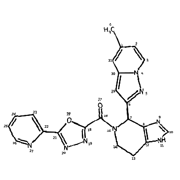 Cc1ccn2nc(C3c4nc[nH]c4CCN3C(=O)c3nnc(-c4ccccn4)o3)cc2c1